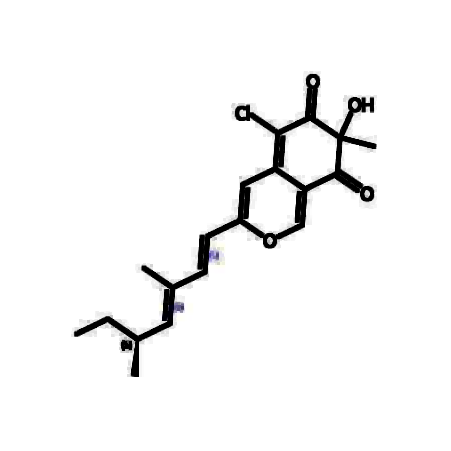 CC[C@H](C)/C=C(C)/C=C/C1=CC2=C(Cl)C(=O)C(C)(O)C(=O)C2=CO1